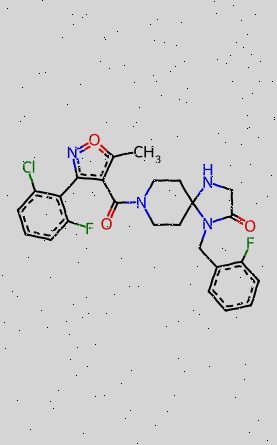 Cc1onc(-c2c(F)cccc2Cl)c1C(=O)N1CCC2(CC1)NCC(=O)N2Cc1ccccc1F